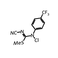 CSC(=NC#N)N(Cl)c1ccc(C(F)(F)F)cc1